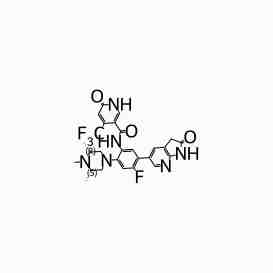 C[C@@H]1CN(c2cc(F)c(-c3cnc4c(c3)CC(=O)N4)cc2NC(=O)c2c[nH]c(=O)cc2C(F)(F)F)C[C@H](C)N1C